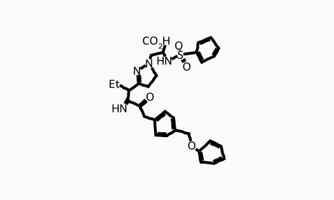 CCC(C(=N)C(=O)Cc1ccc(COc2ccccc2)cc1)C1=NN(CC(NS(=O)(=O)c2ccccc2)C(=O)O)CC1